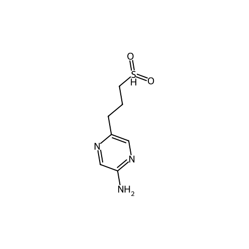 Nc1cnc(CCC[SH](=O)=O)cn1